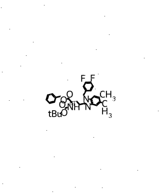 Cc1cc2nc(CC[C@H](NC(=O)OC(C)(C)C)C(=O)OCc3ccccc3)n(Cc3ccc(F)c(F)c3)c2cc1C